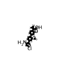 COc1cc(-c2sc(Cl)cc2N)ccc1-c1ccc(C2(C(=O)O)CC2)cc1